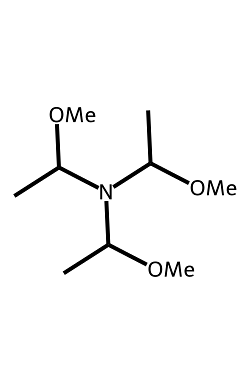 COC(C)N(C(C)OC)C(C)OC